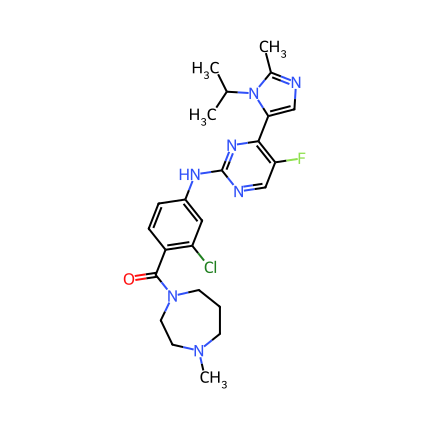 Cc1ncc(-c2nc(Nc3ccc(C(=O)N4CCCN(C)CC4)c(Cl)c3)ncc2F)n1C(C)C